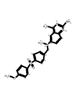 CSc1ccc(S(=O)(=O)c2ccc(CN(C)c3ccc4nc(N)nc(N)c4c3)cc2)cc1